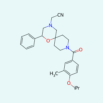 Cc1cc(C(=O)N2CCC3(CC2)CN(CC#N)CC(c2ccccc2)O3)ccc1OC(C)C